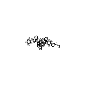 Cc1ccc(S(=O)(=O)O[C@@H](CNC(=O)OCc2ccccc2)[C@H]2OC[C@@H]3O[C@H]23)cc1